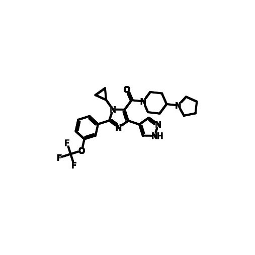 O=C(c1c(-c2cn[nH]c2)nc(-c2cccc(OC(F)(F)F)c2)n1C1CC1)N1CCC(N2CCCC2)CC1